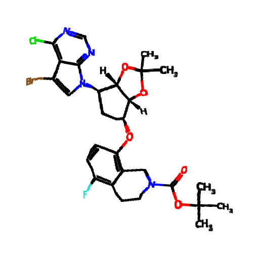 CC(C)(C)OC(=O)N1CCc2c(F)ccc(O[C@H]3C[C@@H](n4cc(Br)c5c(Cl)ncnc54)[C@@H]4OC(C)(C)O[C@@H]43)c2C1